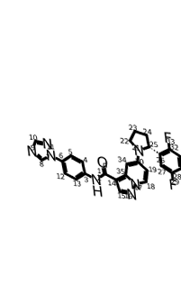 O=C(Nc1ccc(-n2cncn2)cc1)c1cnn2ccc(N3CCC[C@@H]3c3cc(F)ccc3F)cc12